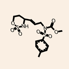 COC(=O)N(C/C=C/C1CCOS(=O)(=O)N1)S(=O)(=O)c1ccc(C)cc1